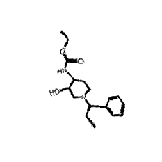 CCOC(=O)NC1CCN(C(CC)c2ccccc2)CC1O